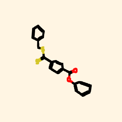 O=C(Oc1ccccc1)c1ccc(C(=S)SCc2ccccc2)cc1